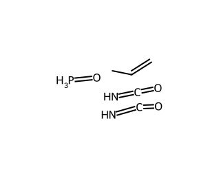 C=CC.N=C=O.N=C=O.O=[PH3]